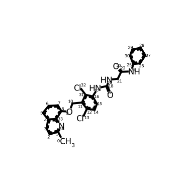 Cc1ccc2cccc(OCc3c(Cl)ccc(NC(=O)NCC(=O)Nc4ccccc4)c3Cl)c2n1